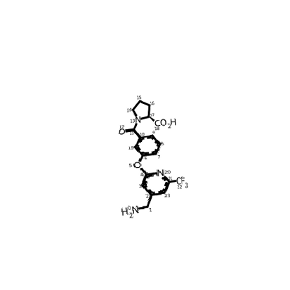 NCc1cc(Oc2cccc(C(=O)N3CCC[C@H]3C(=O)O)c2)nc(C(F)(F)F)c1